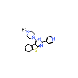 CCN1CCN(c2nc(-c3ccncc3)nc3sc4c(c23)CCCC4)CC1